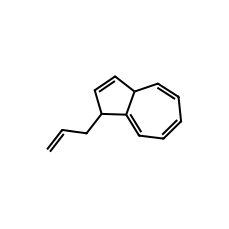 C=CCC1C=CC2C=CC=CC=C21